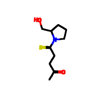 CC(=O)CCC(=S)N1CCCC1CO